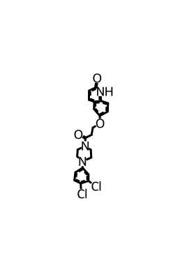 O=C(CCOc1ccc2[nH]c(=O)ccc2c1)N1CCN(c2ccc(Cl)c(Cl)c2)CC1